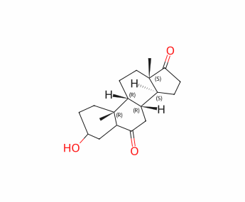 C[C@]12CCC(O)CC1C(=O)C[C@@H]1[C@H]2CC[C@]2(C)C(=O)CC[C@@H]12